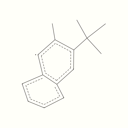 Cc1[c]c2ccccc2cc1C(C)(C)C